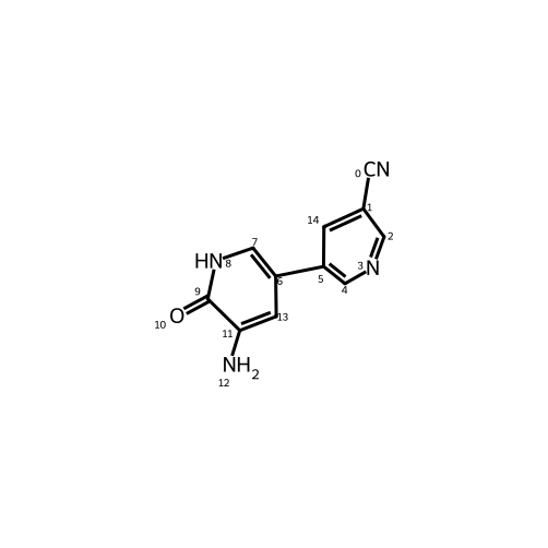 N#Cc1cncc(-c2c[nH]c(=O)c(N)c2)c1